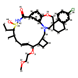 CCC1C(C)C/C=C/C(OCCOC)C2CCC2CN2CC3(CCCc4cc(Cl)ccc43)COc3ccc(cc32)C(=O)N[S+]1[O-]